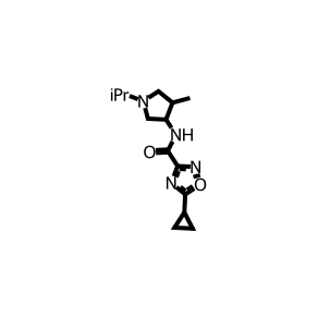 CC1CN(C(C)C)CC1NC(=O)c1noc(C2CC2)n1